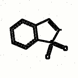 O=S1(=O)[C]=Cc2ccccc21